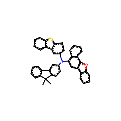 CC1(C)c2ccccc2-c2cc(N(c3ccc4sc5ccccc5c4c3)c3cc4c5ccccc5oc4c4ccccc34)ccc21